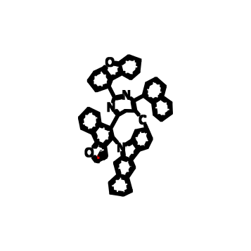 c1ccc2cc3c(cc2c1)c1ccc2cc1n3-c1c(c3ccccc3c3oc4ccccc4c13)C1=NC(c3cccc4oc5ccccc5c34)=NC(c3cccc4ccccc34)=C(C1)C2